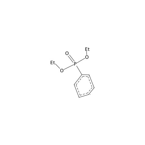 CCOP(=O)(OCC)c1cc[c]cc1